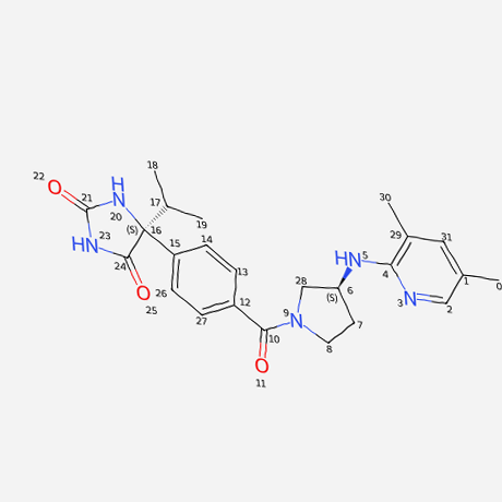 Cc1cnc(N[C@H]2CCN(C(=O)c3ccc([C@]4(C(C)C)NC(=O)NC4=O)cc3)C2)c(C)c1